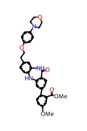 COC(=O)c1cc(OC)ccc1-c1ccc2c(c1)Nc1ccc(CCOc3ccc(N4CCOCC4)cc3)cc1NC2=O